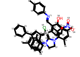 Cc1ccc(N=Cc2[c]([Ru]([Cl])(=[C]3C=C(c4ccccc4)c4ccccc43)=[C]3N(c4c(C)cc(C)cc4C)CCN3c3c(C)cc(C)cc3C)ccc([N+](=O)[O-])c2O)cc1